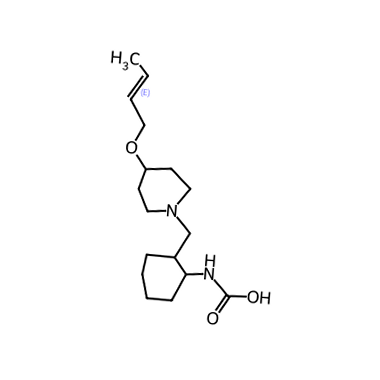 C/C=C/COC1CCN(CC2CCCCC2NC(=O)O)CC1